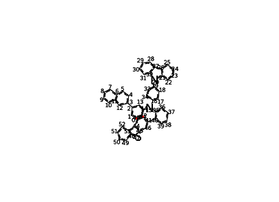 c1cc(-c2ccc3ccccc3c2)cc(N(c2ccc(-n3c4ccccc4c4ccccc43)cc2)c2ccccc2-c2ccc3c(c2)sc2ccccc23)c1